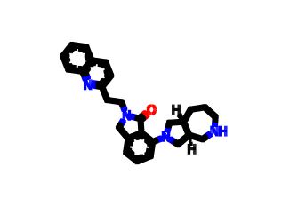 O=C1c2c(cccc2N2C[C@@H]3CCCNC[C@H]3C2)CN1CCc1ccc2ccccc2n1